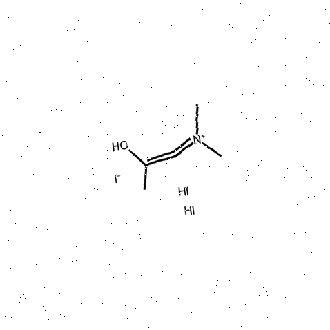 CC(O)=C=[N+](C)C.I.I.[I-]